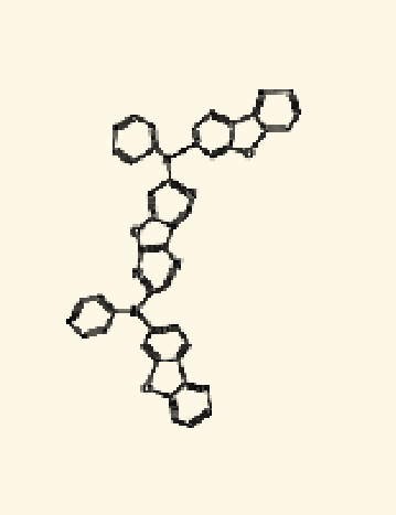 c1ccc(N(c2ccc3c(c2)oc2ccccc23)c2cc3oc4nc(N(c5ccccc5)c5ccc6c(c5)oc5ccccc56)cnc4c3cn2)cc1